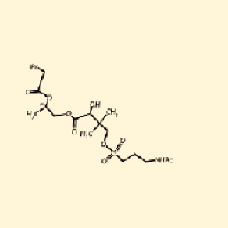 CC(=O)NCCCS(=O)(=O)OCC(C)(C)C(O)C(=O)OC[C@@H](C)OC(=O)CC(C)C